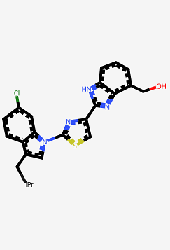 CC(C)Cc1cn(-c2nc(-c3nc4c(CO)cccc4[nH]3)cs2)c2cc(Cl)ccc12